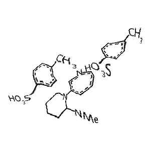 CNC1CCCCN1c1cccnc1.Cc1ccc(S(=O)(=O)O)cc1.Cc1ccc(S(=O)(=O)O)cc1